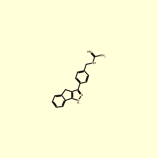 N=C(N)NCc1ccc(-c2n[nH]c3c2Cc2ccccc2-3)cc1